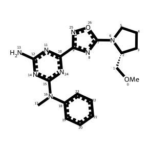 COC[C@H]1CCCN1c1nc(-c2nc(N)nc(N(C)c3ccccc3)n2)no1